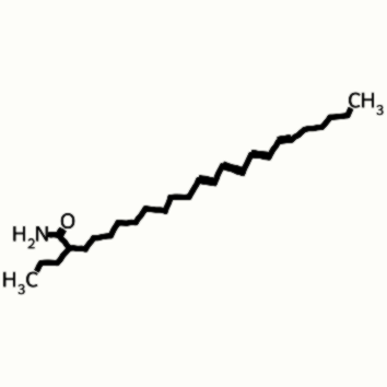 CCCCCC=CC=CC=CC=CCCCCCCCCCC(CCC)C(N)=O